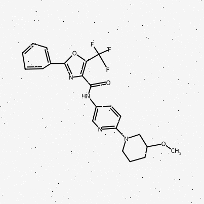 COC1CCCN(c2ccc(NC(=O)c3nc(-c4ccccc4)oc3C(F)(F)F)cn2)C1